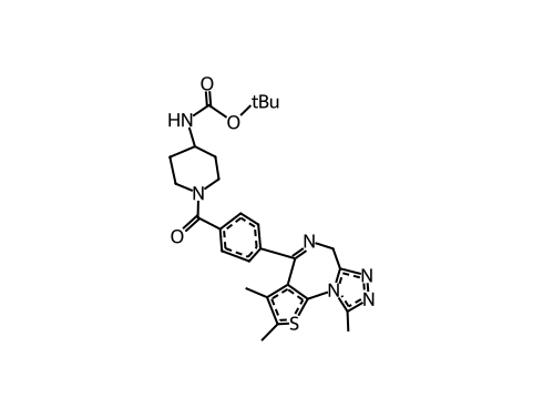 Cc1sc2c(c1C)C(c1ccc(C(=O)N3CCC(NC(=O)OC(C)(C)C)CC3)cc1)=NCc1nnc(C)n1-2